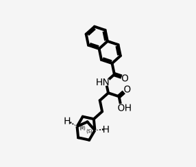 O=C(NC(CCC1C[C@@H]2CC[C@H]1C2)C(=O)O)c1ccc2ccccc2c1